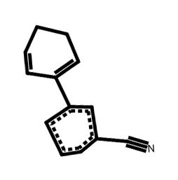 N#Cc1cccc(C2=CCCC=C2)c1